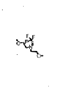 COCCN(CCOC)SC(F)(F)F